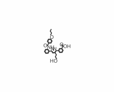 CCCCOc1ccc(C(=O)Nc2ccccc2-c2cc(CCCO)c(-c3cccc(C(=O)O)c3)nn2)cc1